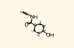 C#CNC(=O)c1ccc(O)cc1